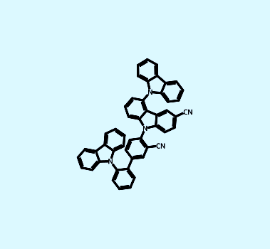 N#Cc1ccc2c(c1)c1c(-n3c4ccccc4c4ccccc43)cccc1n2-c1ccc(-c2ccccc2-n2c3ccccc3c3ccccc32)cc1C#N